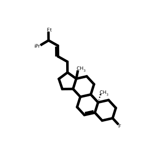 CCC(/C=C/CC1CCC2C3CC=C4CC(F)CC[C@]4(C)C3CCC12C)C(C)C